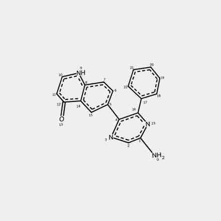 Nc1cnc(-c2ccc3[nH]ccc(=O)c3c2)c(-c2ccccc2)n1